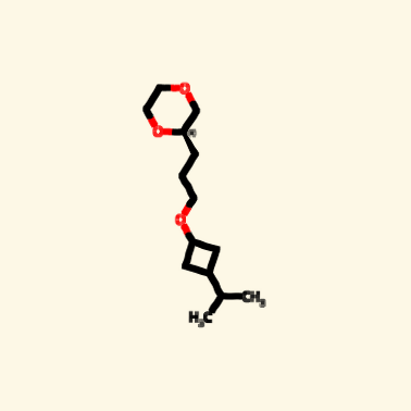 CC(C)C1CC(OCCC[C@@H]2COCCO2)C1